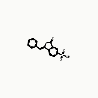 O=C1OC(=Cc2ccccc2)c2ccc(S(=O)(=O)O)cc21